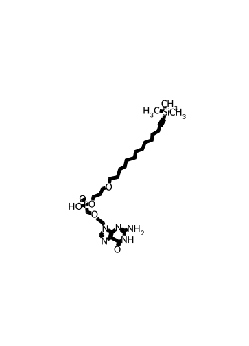 C[Si](C)(C)C#CCCCCCCCCCCCCOCCCOP(=O)(O)COCCn1cnc2c(=O)[nH]c(N)nc21